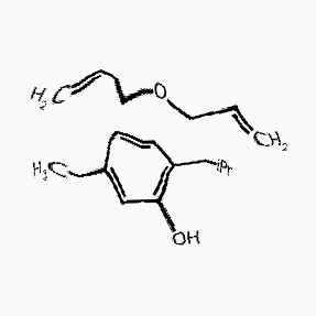 C=CCOCC=C.Cc1ccc(C(C)C)c(O)c1